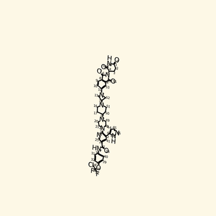 O=C1CCC(N2C(=O)c3ccc(N4CC(N5CCC(N6CCN(c7ncc(C(=O)Nc8ccc(OC(F)(F)Cl)cc8)cc7-c7ccn[nH]7)CC6)CC5)C4)cc3C2=O)C(=O)N1